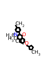 C=Cc1ccc2c3c(n(C)c2c1)C(C)(C)c1ccc(OCC2CCC(C)C2)cc1C3=O